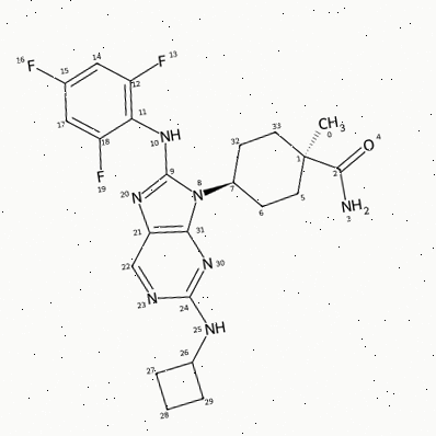 C[C@]1(C(N)=O)CC[C@@H](n2c(Nc3c(F)cc(F)cc3F)nc3cnc(NC4CCC4)nc32)CC1